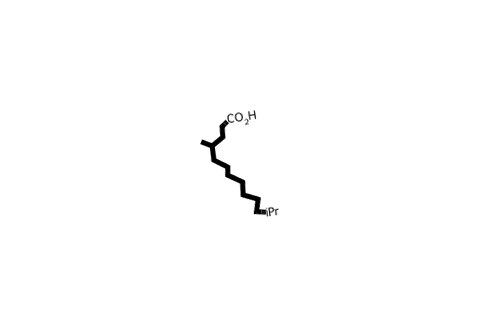 CC(C)CCCCCCCC(C)CCC(=O)O